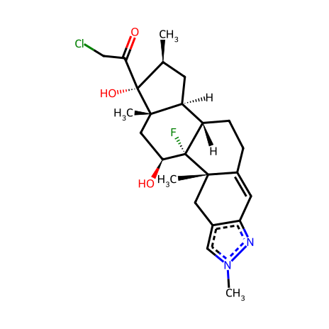 C[C@H]1C[C@H]2[C@@H]3CCC4=Cc5nn(C)cc5C[C@]4(C)[C@@]3(F)[C@@H](O)C[C@]2(C)[C@@]1(O)C(=O)CCl